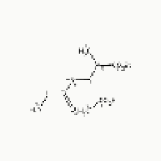 CC(=O)O.CCOC(=O)[C@H](C)CNC(=O)CN